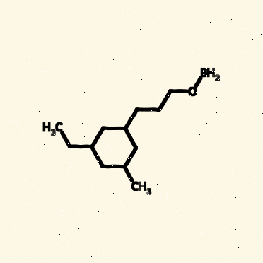 BOCCCC1CC(C)CC(CC)C1